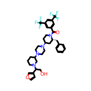 O=C(c1cc(C(F)(F)F)cc(C(F)(F)F)c1)N1CC[C@H](N2CCN(C3CCCN(C(CO)c4ccoc4)C3)CC2)C[C@H]1Cc1ccccc1